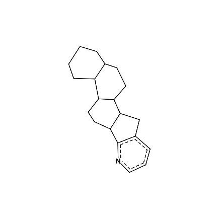 c1cnc2c(c1)CC1C2CCC2C3CCCCC3CCC12